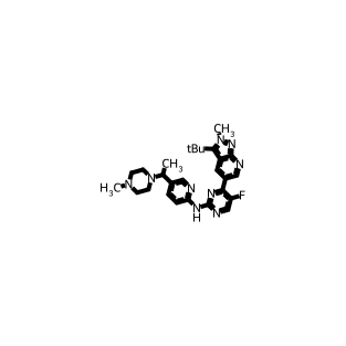 CC(c1ccc(Nc2ncc(F)c(-c3cnc4nn(C)c(C(C)(C)C)c4c3)n2)nc1)N1CCN(C)CC1